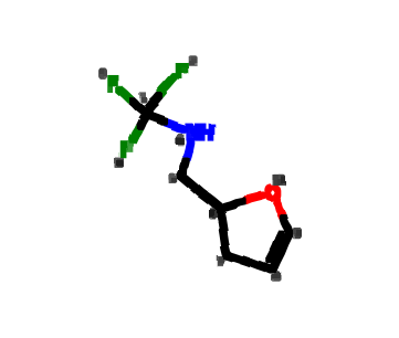 FC(F)(F)NCC1CC=CO1